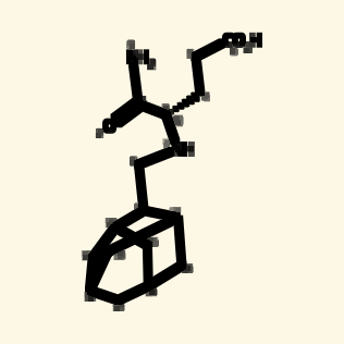 NC(=O)[C@H](CCC(=O)O)NCC1C2CC3CC(C2)CC1C3